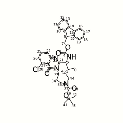 CCC(NC(=O)OCC1c2ccccc2-c2ccccc21)c1nc2cccc(Cl)c2c(=O)n1C1CCN(C(=O)OC(C)(C)C)CC1